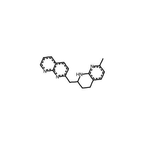 Cc1ccc2c(n1)NC(Cc1ccc3cccnc3n1)CC2